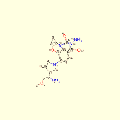 COCC(N)C1CN(c2ccc3c(=O)n(N)c(=O)n(C4CC4)c3c2OC)CC1C